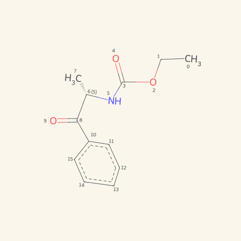 CCOC(=O)N[C@@H](C)C(=O)c1ccccc1